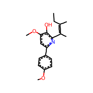 CC/C(C)=C(/C)c1nc(-c2ccc(OC)cc2)cc(OC)c1O